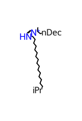 CCCCCCCCCCCC(C)[n+]1cc[nH]c1CCCCCCCCCCCCCCCC(C)C